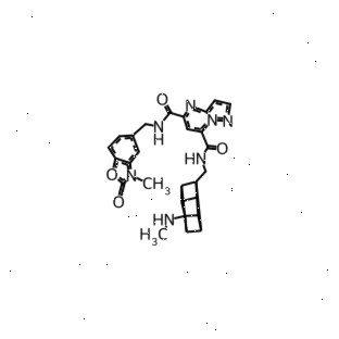 CNC12C3C4C1C1C2C3C41CNC(=O)c1cc(C(=O)NCc2ccc3oc(=O)n(C)c3c2)nc2ccnn12